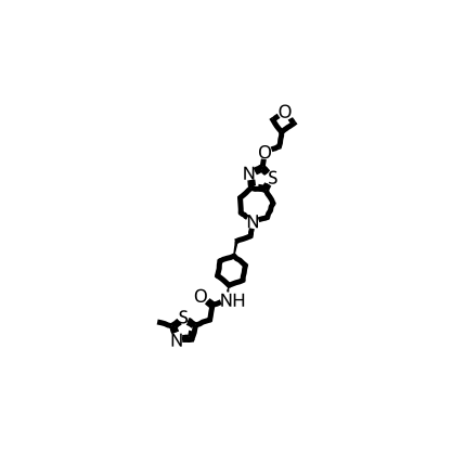 Cc1ncc(CC(=O)N[C@H]2CC[C@H](CCN3CCc4nc(OCC5COC5)sc4CC3)CC2)s1